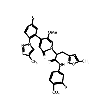 COc1cn(C(Cc2cc(C)on2)C(=O)Nc2ccc(C(=O)O)c(F)c2)c(=O)cc1-c1cc(Cl)ccc1-n1cc(C(F)(F)F)nn1